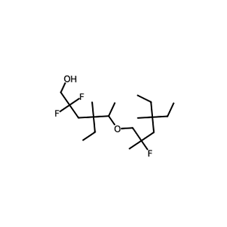 CCC(C)(CC)CC(C)(F)COC(C)C(C)(CC)CC(F)(F)CO